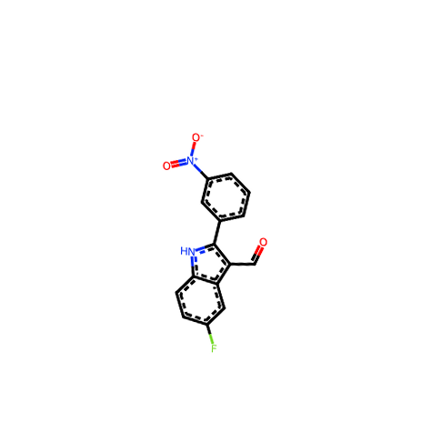 O=Cc1c(-c2cccc([N+](=O)[O-])c2)[nH]c2ccc(F)cc12